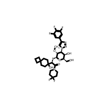 CO[C@@H]1[C@@H](n2cc(-c3cc(F)c(F)c(F)c3)nn2)[C@@H](O)[C@@H](CO)O[C@H]1S[C@@H](C(=O)N1CCC(F)(F)CC1)C1(O)CCC2(CCC2)CC1